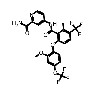 COc1cc(OC(F)(F)F)ccc1Oc1ccc(C(F)(F)F)c(C)c1C(=O)Nc1ccnc(C(N)=O)c1